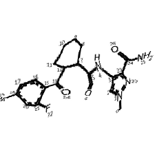 Cn1cc(NC(=O)C2CCCCC2C(=O)c2ccc(Br)cc2F)c(C(N)=O)n1